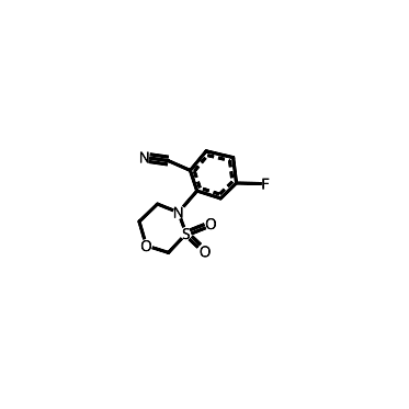 N#Cc1ccc(F)cc1N1CCOCS1(=O)=O